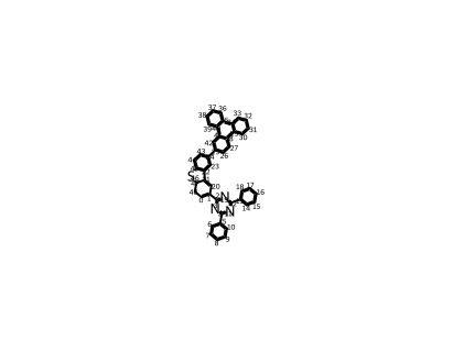 C1=C(c2nc(-c3ccccc3)nc(-c3ccccc3)n2)C=C2c3cc(-c4ccc5c6ccccc6c6ccccc6c5c4)ccc3SC2C1